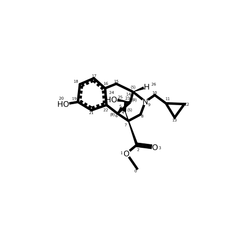 COC(=O)[C@H]1C[C@@]23CCN(CC4CC4)[C@@H](Cc4ccc(O)cc42)[C@@]3(O)C1